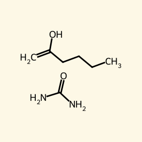 C=C(O)CCCC.NC(N)=O